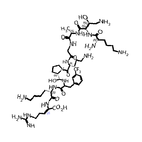 C[C@H](NC(=O)[C@@H](NC(=O)[C@@H](N)CCCCN)[C@@H](O)CN)C(=O)NCC(=O)N[C@H](CCCN)C(=O)N1CCC[C@H]1C(O)NC(Cc1cccc(C(F)(F)F)c1)C(=O)N[C@@H](CCCCN)C(=O)N/C(=C\CCNC(=N)N)C(=O)O